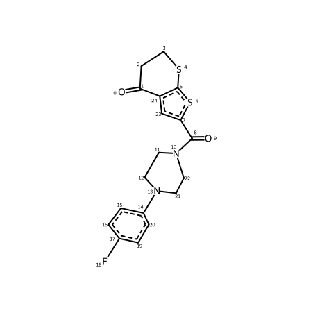 O=C1CCSc2sc(C(=O)N3CCN(c4ccc(F)cc4)CC3)cc21